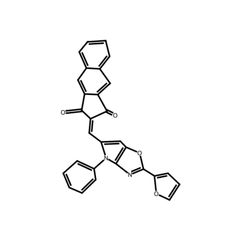 O=C1C(=Cc2cc3oc(-c4ccco4)nc3n2-c2ccccc2)C(=O)c2cc3ccccc3cc21